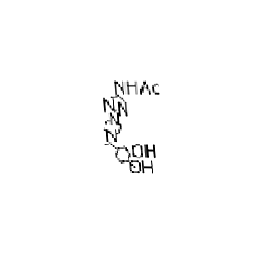 CC(=O)Nc1cnc(N2CCN(C(C)c3ccc(O)c(O)c3)CC2)nc1